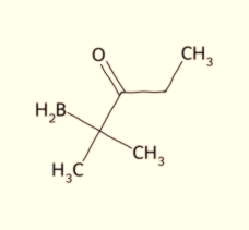 BC(C)(C)C(=O)CC